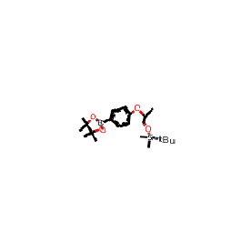 CC(CO[Si](C)(C)C(C)(C)C)Oc1ccc(B2OC(C)(C)C(C)(C)O2)cc1